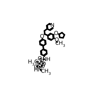 CNS(=O)(=O)N(C)S(=O)(=O)Nc1ccc(-c2ccc(OC(Cc3ccncc3)c3ccc(OC)c(OC4CCCC4)c3)cc2)cc1